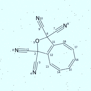 N#CC1(C#N)OC(C#N)(C#N)C2=C1C=CC=CC=C2